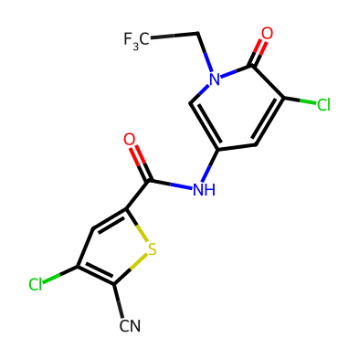 N#Cc1sc(C(=O)Nc2cc(Cl)c(=O)n(CC(F)(F)F)c2)cc1Cl